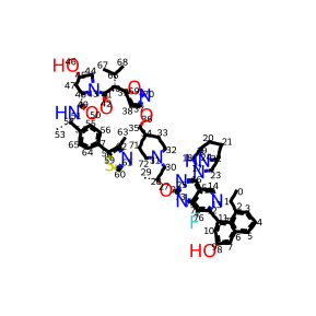 CCc1cccc2cc(O)cc(-c3ncc4c(N5CC6CCC(C5)N6)nc(O[C@H](C)CN5CCC(COc6cc([C@H](C(=O)N7C[C@H](O)C[C@H]7C(=O)N[C@@H](C)c7ccc(-c8scnc8C)cc7)C(C)C)on6)CC5)nc4c3F)c12